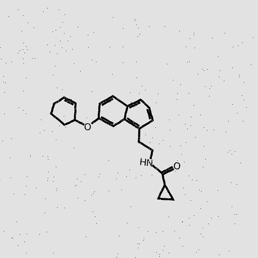 O=C(NCCc1cccc2ccc(OC3C=CCCC3)cc12)C1CC1